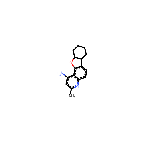 Cc1cc(N)c2c3c(ccc2n1)C1CCCCC1O3